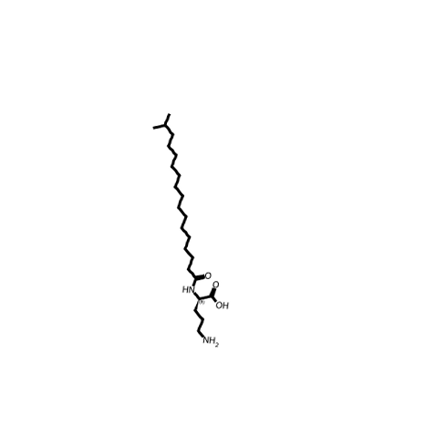 CC(C)CCCCCCCCCCCCCCC(=O)N[C@H](CCCN)C(=O)O